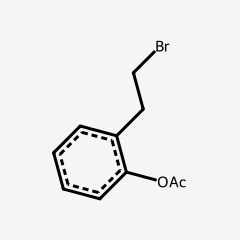 CC(=O)Oc1ccccc1CCBr